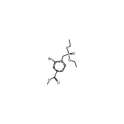 CCOP(=O)(Cc1ccc(C(=O)OC)cc1Br)OCC